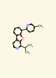 Cc1ccc(-c2cccc3c2oc2c(C(C)C)nccc23)nc1